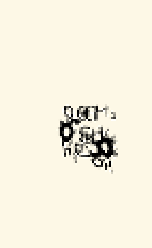 COCC(=O)c1ccccc1.COc1ccccc1C(C)O